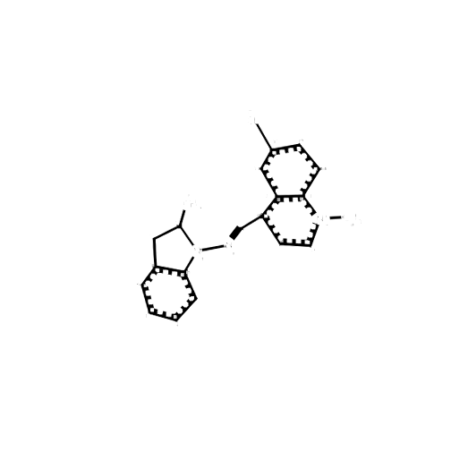 CC1Cc2ccccc2N1/N=C/c1cc[n+](C)c2ccc(Cl)cc12